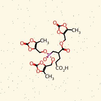 Cc1oc(=O)oc1COC(=O)C(CCC(=O)O)CP(=O)(OCc1oc(=O)oc1C)OCc1oc(=O)oc1C